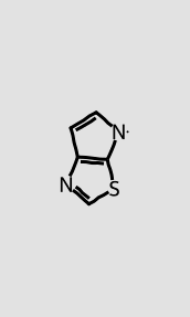 C1=Cc2ncsc2[N]1